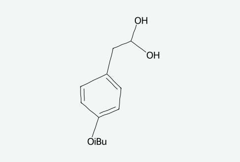 CC(C)COc1ccc(CC(O)O)cc1